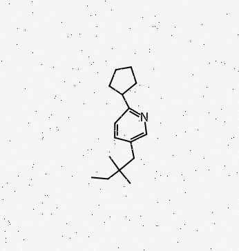 CCC(C)(C)Cc1ccc(C2CCCC2)nc1